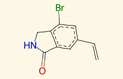 C=Cc1cc(Br)c2c(c1)C(=O)NC2